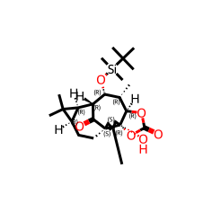 CC1=C[C@]23CC[C@@H]4[C@H]([C@@H](C2=O)[C@H](O[Si](C)(C)C(C)(C)C)[C@H](C)[C@H]2OC(=O)O[C@]23[C@H]1O)C4(C)C